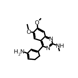 CNc1nc(C2=CC(N)=CCC2)c2cc(OC)c(OC)cc2n1